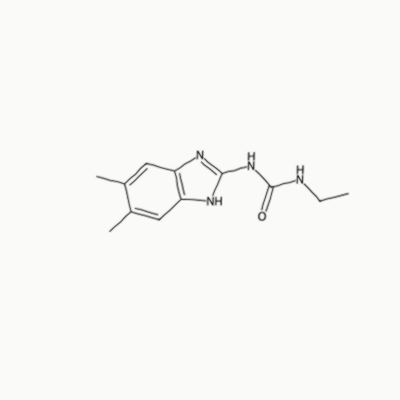 CCNC(=O)Nc1nc2cc(C)c(C)cc2[nH]1